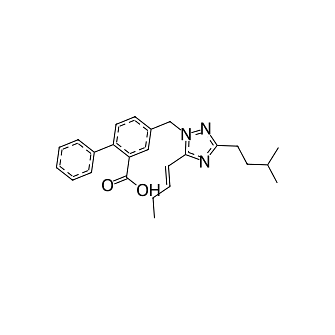 CCC=Cc1nc(CCC(C)C)nn1Cc1ccc(-c2ccccc2)c(C(=O)O)c1